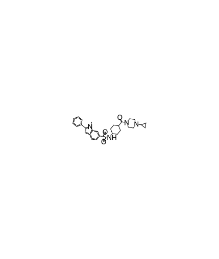 Cn1c(-c2ccccc2)cc2ccc(S(=O)(=O)NC3CCC(C(=O)N4CCN(C5CC5)CC4)CC3)cc21